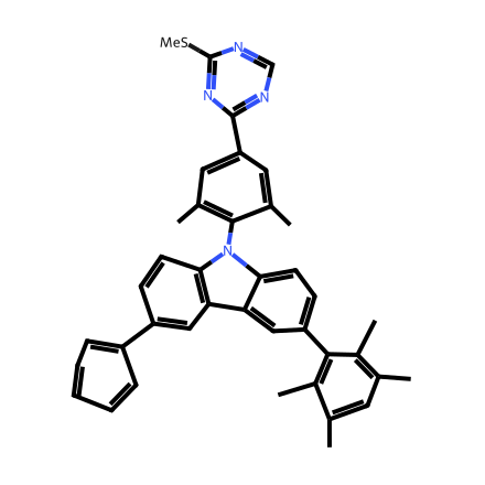 CSc1ncnc(-c2cc(C)c(-n3c4ccc(-c5ccccc5)cc4c4cc(-c5c(C)c(C)cc(C)c5C)ccc43)c(C)c2)n1